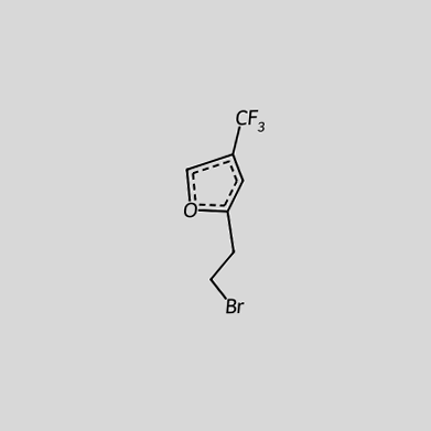 FC(F)(F)c1coc(CCBr)c1